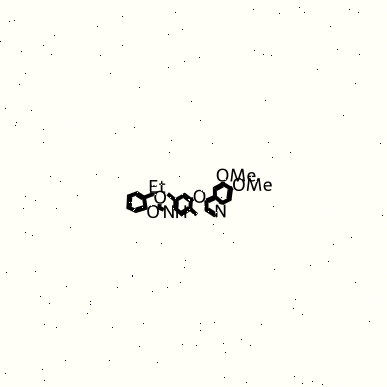 CCC(OC(=O)Nc1cc(C)c(Oc2ccnc3cc(OC)c(OC)cc23)cc1C)c1ccccc1